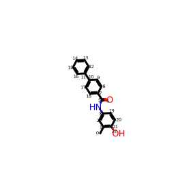 Cc1cc(NC(=O)c2ccc(-c3ccccc3)cc2)ccc1O